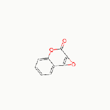 O=c1oc2ccccc2c2c1O2